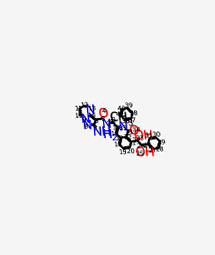 C[C@H](NC(=O)c1c(N)nn2cccnc12)c1cc2cccc(C(O)C(O)c3ccccc3)c2c(=O)n1-c1ccccc1